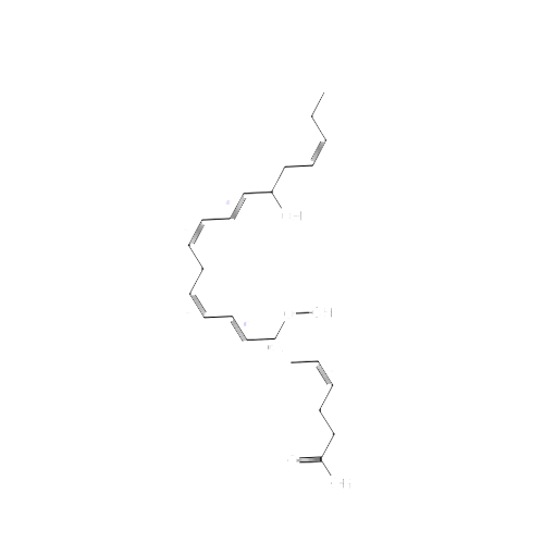 CC/C=C\CC(O)/C=C/C=C\C/C=C\C=C\[C@@H](C/C=C\CCC(=O)O)OO